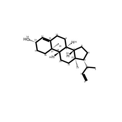 C=CC(C)[C@H]1CC[C@H]2[C@@H]3CCC4=C[C@@H](O)CC[C@]4(C)[C@H]3CC[C@]12C